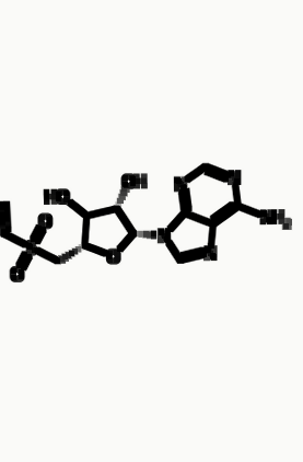 C=CS(=O)(=O)C[C@H]1O[C@@H](n2cnc3c(N)ncnc32)[C@@H](O)C1O